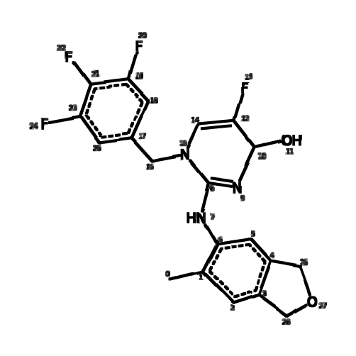 Cc1cc2c(cc1NC1=NC(O)C(F)=CN1Cc1cc(F)c(F)c(F)c1)COC2